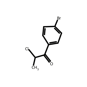 CC(Cl)C(=O)c1ccc(Br)cc1